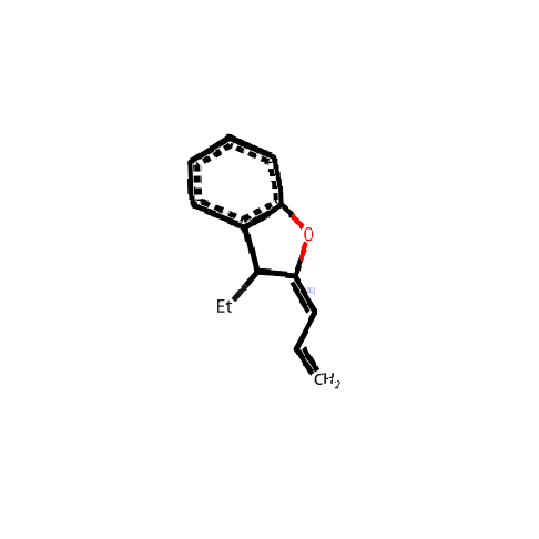 C=C/C=C1/Oc2ccccc2C1CC